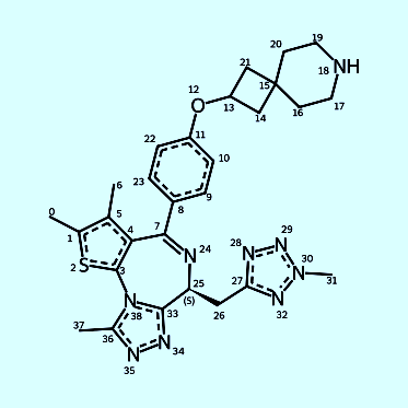 Cc1sc2c(c1C)C(c1ccc(OC3CC4(CCNCC4)C3)cc1)=N[C@@H](Cc1nnn(C)n1)c1nnc(C)n1-2